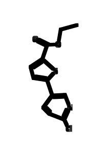 CCOC(=O)c1ccc(-c2ccc(Cl)nc2)s1